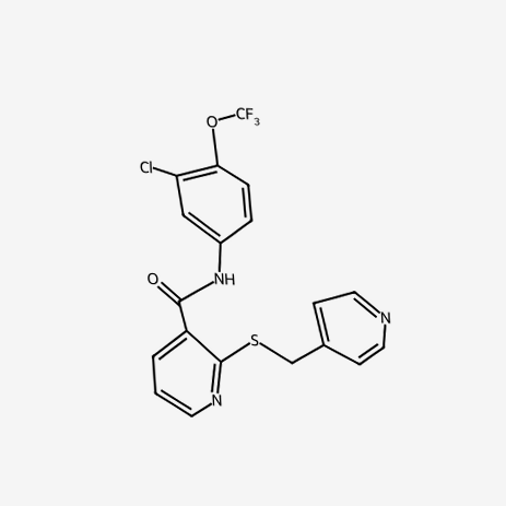 O=C(Nc1ccc(OC(F)(F)F)c(Cl)c1)c1cccnc1SCc1ccncc1